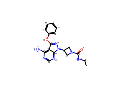 CCNC(=O)N1CC(n2nc(Oc3ccccc3)c3c(N)ncnc32)C1